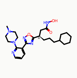 CN1CCN(c2ncccc2-c2noc([C@H](CCCC3CCCCC3)CC(=O)NO)n2)CC1